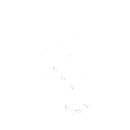 C#CCC(CC#C)COC(=O)c1cn(C2CC2)c2nc(N3C/C(=N/OC)C4(CNC4)C3)c(F)cc2c1=O